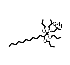 CCCCCCCCCCC(OCCC)C(OCCC)(OCCC)N(CC(C)O)CC(C)O